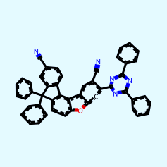 N#Cc1ccc2c(c1)C(c1ccccc1)(c1ccccc1)c1ccc3oc4cc(-c5nc(-c6ccccc6)nc(-c6ccccc6)n5)c(C#N)cc4c3c1-2